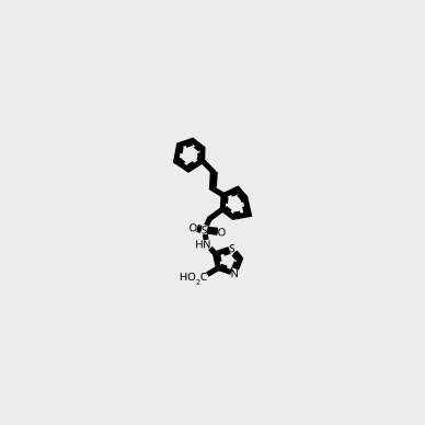 O=C(O)c1ncsc1NS(=O)(=O)Cc1ccccc1/C=C/c1ccccc1